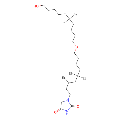 CCC(CCN1CC(=O)NC1=O)CC(CC)(CC)CCCCOCCCCC(CC)(CC)CCCCCO